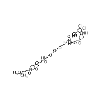 CN(C)CC=CC(=O)N1CCN(c2ccc(/C=C/C(=O)NCCOCCOCCOCCOCCNC(=O)Cn3ccc(-c4cc(Cl)c(Cl)c5[nH]c6c(c45)CN(C(=O)CO)CC6)n3)s2)C(=O)C1